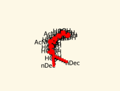 CCCCCCCCCCCCC/C=C/[C@@H](O)[C@H](CO[C@@H]1OC(CO)[C@@H](O[C@@H]2OC(CO)[C@H](O)[C@H](O[C@@H]3OC(CO)[C@@H](O[C@@H]4OC(CO)[C@H](O)[C@H](O[C@@H]5OC(CO)[C@@H](O[C@@H]6OC(CO)[C@H](O)[C@H](O)C6O[C@H]6OC(C)[C@@H](O)C(O)[C@@H]6O)[C@H](O)C5NC(C)=O)C4O)[C@H](O)C3NC(C)=O)C2O)[C@H](O)C1O)NC(=O)CCCCCCCCCCCCCCCCCCC